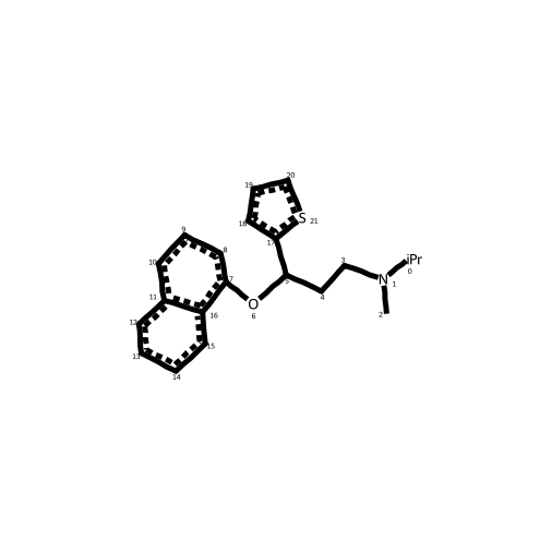 CC(C)N(C)CCC(Oc1cccc2ccccc12)c1cccs1